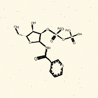 O=C(NC1O[C@H](CO)[C@@H](O)[C@H]1OP(=O)(O)OP(=O)(O)O)c1cccnc1